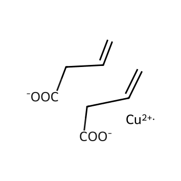 C=CCC(=O)[O-].C=CCC(=O)[O-].[Cu+2]